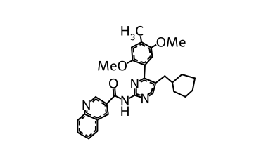 COc1cc(-c2nc(NC(=O)c3cnc4ccccc4c3)ncc2CC2CCCCC2)c(OC)cc1C